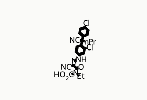 CCCC(C#N)(c1ccc(Cl)cc1)c1ccc(NN=C(C#N)C(=O)N(CC)C(=O)O)cc1Cl